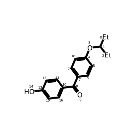 CCC(CC)Oc1ccc(C(=O)c2ccc(O)cc2)cc1